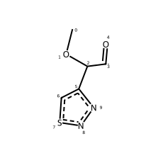 COC([C]=O)c1csnn1